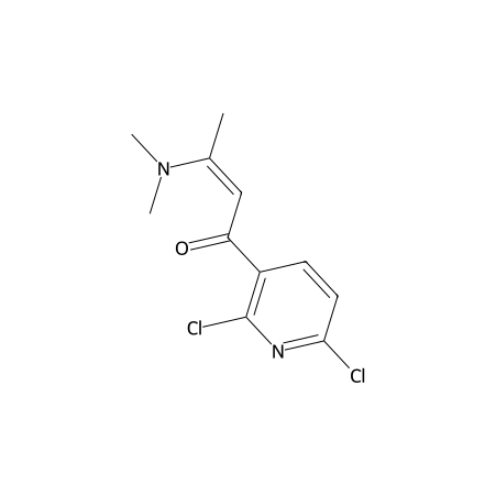 CC(=CC(=O)c1ccc(Cl)nc1Cl)N(C)C